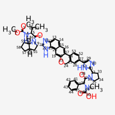 COC(=O)N[C@H](C(=O)N1[C@H](c2nc3ccc4cc5c(cc4c3[nH]2)OCc2cc(-c3cnc(C4CCCN4C(=O)[C@@H](c4ccccc4)N(C)C(=O)O)[nH]3)ccc2-5)C[C@@H]2CCC[C@@H]21)C(C)C